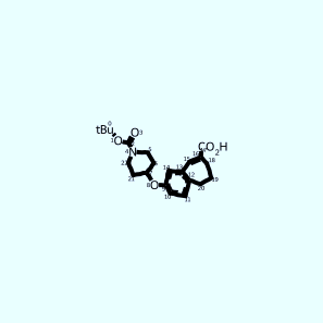 CC(C)(C)OC(=O)N1CCC(Oc2ccc3c(c2)C=C(C(=O)O)CCC3)CC1